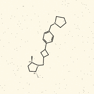 C[C@@H]1CC[C@@H](C)N1CC1CC(c2ccc(CN3CCCC3)cc2)C1